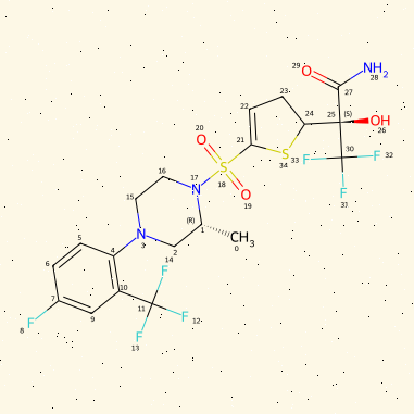 C[C@@H]1CN(c2ccc(F)cc2C(F)(F)F)CCN1S(=O)(=O)C1=CCC([C@](O)(C(N)=O)C(F)(F)F)S1